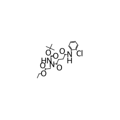 CCOC(=O)CN(NC(=O)OC(C)(C)C)C(=O)CCC(=O)Nc1ccccc1Cl